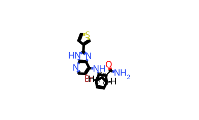 NC(=O)[C@@H]1[C@H](Nc2c(Br)cnc3[nH]c(-c4ccsc4)nc23)[C@H]2C=C[C@@H]1C2